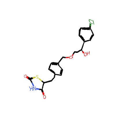 O=C1NC(=O)C(Cc2ccc(COC[C@H](O)c3ccc(Cl)cc3)cc2)S1